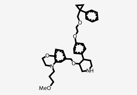 COCCCN1CCOc2ccc(COC3CNCCC3c3ccc(OCCOCC4(c5ccccc5)CC4)cc3)cc21